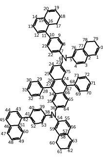 C1=Cc2ccc(N(c3ccc(-c4cccc5c4CCC=C5)cc3)c3ccc4c(-c5ccccc5)c5cc(N(c6ccc(-c7cccc8ccccc78)cc6)c6ccc7c(c6)CCC=C7)ccc5c(-c5ccccc5)c4c3)cc2CC1